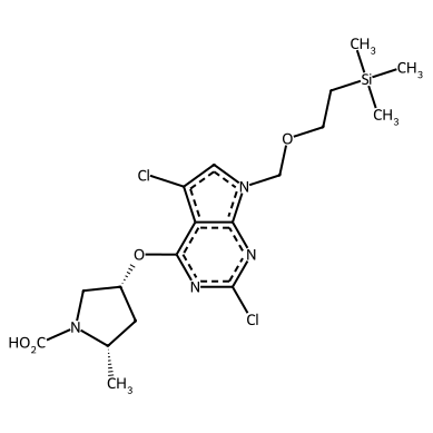 C[C@H]1C[C@@H](Oc2nc(Cl)nc3c2c(Cl)cn3COCC[Si](C)(C)C)CN1C(=O)O